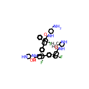 CC1(C)CNCCC1NC(=O)C12CC3C[C@@](CF)(C1)C[C@](c1ccc(C45CC6(C(=O)N[C@@H]7CCNC[C@H]7O)C[C@](CF)(C4)C[C@@](c4ccc(C78CC9(C(=O)N[C@H]%10CC[C@@H](CN)CC%10)C[C@](CF)(C7)C[C@@](c7ccccc7)(C9)C8)cc4)(C6)C5)cc1)(C3)C2